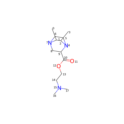 CC1C(C)N2CCN1CC2C(=O)OCCN(C)C